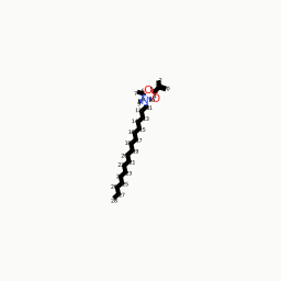 C=C(C)C(=O)OC(C)[N+](C)(C)CCCCCCCCCCCCCCCCCC